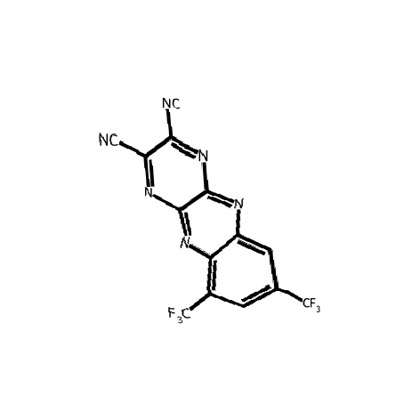 [C-]#[N+]c1nc2nc3cc(C(F)(F)F)cc(C(F)(F)F)c3nc2nc1C#N